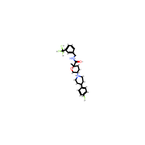 CC1(C(=O)NCc2cccc(C(F)(F)F)c2)CC[C@@H](N2CCC(c3ccc(F)cc3)CC2)CO1